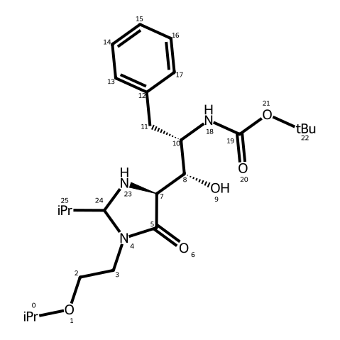 CC(C)OCCN1C(=O)[C@H]([C@@H](O)[C@H](Cc2ccccc2)NC(=O)OC(C)(C)C)NC1C(C)C